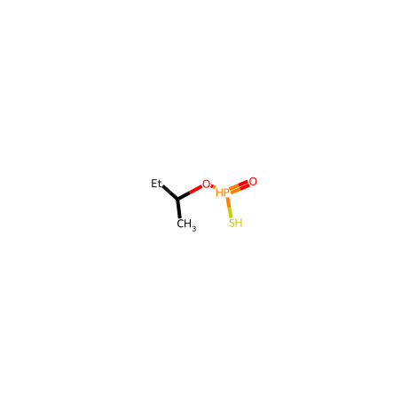 CCC(C)O[PH](=O)S